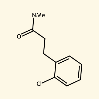 CNC(=O)CCc1ccccc1Cl